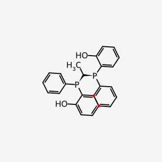 CC([P@](c1ccccc1)c1ccccc1O)[P@](c1ccccc1)c1ccccc1O